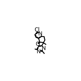 Cc1cc(C2(C)CCc3nc(Cl)ccc3C2=O)nc(C)n1